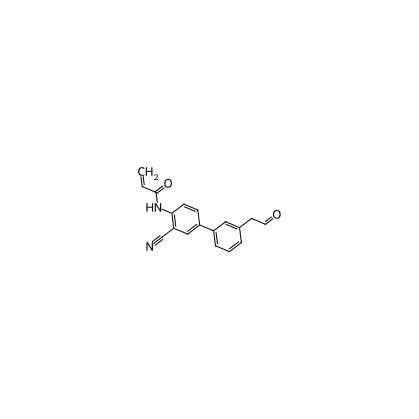 C=CC(=O)Nc1ccc(-c2cccc(CC=O)c2)cc1C#N